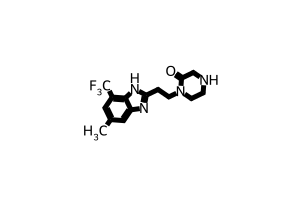 Cc1cc(C(F)(F)F)c2[nH]c(CCN3CCNCC3=O)nc2c1